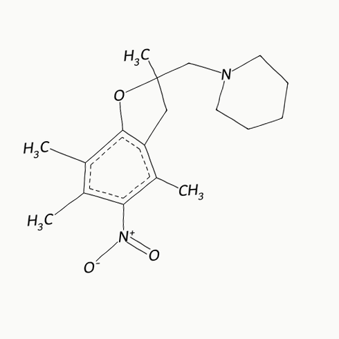 Cc1c(C)c([N+](=O)[O-])c(C)c2c1OC(C)(CN1CCCCC1)C2